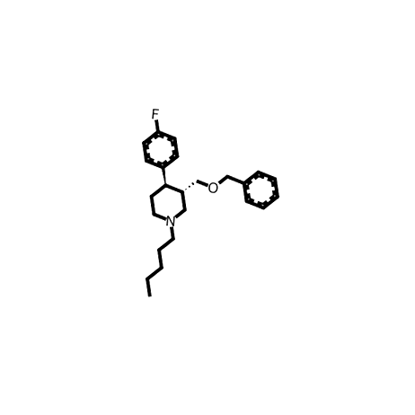 CCCCCN1CC[C@@H](c2ccc(F)cc2)[C@H](COCc2ccccc2)C1